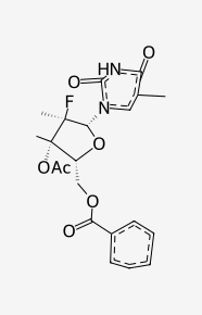 CC(=O)O[C@@]1(C)[C@@H](COC(=O)c2ccccc2)O[C@@H](n2cc(C)c(=O)[nH]c2=O)[C@]1(C)F